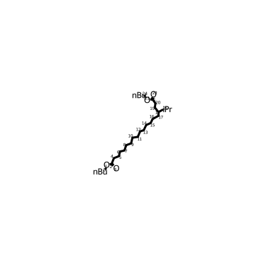 CCCCOC(=O)CCCCCCCCCCCCCCC(CCC(=O)OCCCC)C(C)C